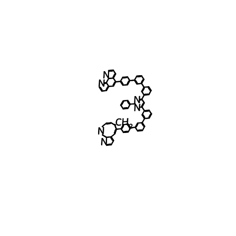 C=C1/C=C\C=N/Cc2ncccc2/C=C\1c1ccc(-c2cccc(-c3cccc(-c4cc(-c5cccc(-c6cccc(-c7ccc(-c8cc9cccnc9c9ncccc89)cc7)c6)c5)nc(-c5ccccc5)n4)c3)c2)cc1